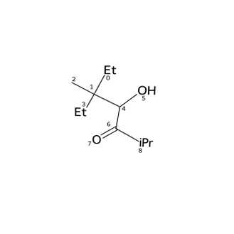 CCC(C)(CC)C(O)C(=O)C(C)C